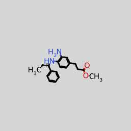 CC[C@@H](Nc1ccc(CCC(=O)OC)cc1N)c1ccccc1